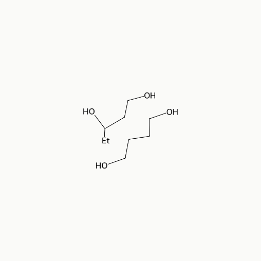 CCC(O)CCO.OCCCCO